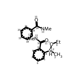 CCO[SiH](C)c1ccccc1C(=O)NC.CNC(=O)c1ccccc1